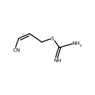 N#C/C=C\CSC(=N)N